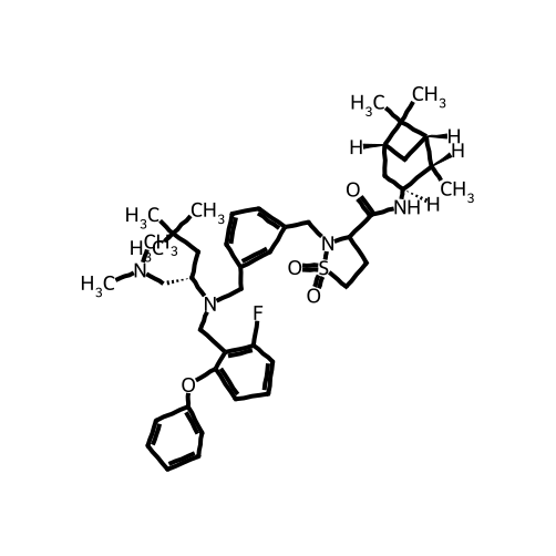 C[C@@H]1[C@@H](NC(=O)C2CCS(=O)(=O)N2Cc2cccc(CN(Cc3c(F)cccc3Oc3ccccc3)[C@H](CN(C)C)CC(C)(C)C)c2)C[C@H]2C[C@@H]1C2(C)C